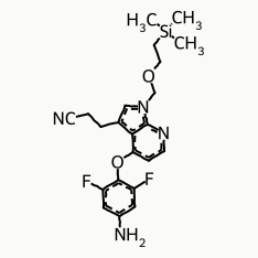 C[Si](C)(C)CCOCn1cc(CCC#N)c2c(Oc3c(F)cc(N)cc3F)ccnc21